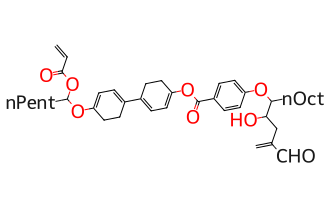 C=CC(=O)OC(CCCCC)OC1=CC=C(C2=CC=C(OC(=O)c3ccc(OC(CCCCCCCC)C(O)CC(=C)C=O)cc3)CC2)CC1